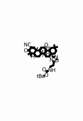 CC1(C)CC[C@]2(c3noc(CCNC(=O)OC(C)(C)C)n3)CC[C@]3(C)[C@H](C(=O)C=C4[C@@]5(C)C=C(C#N)C(=O)C(C)(C)[C@@H]5CC[C@]43C)[C@@H]2C1